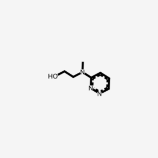 CN(CCO)c1cccnn1